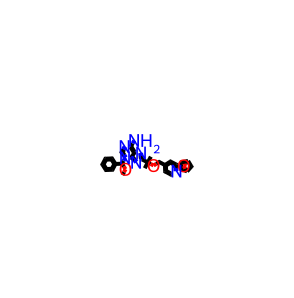 C1CC2CC1O2.COC(c1ccccc1)n1cnc(N)c2nc(C(C)(C)OCc3ccncc3)nc1-2